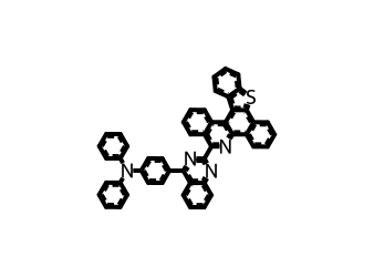 c1ccc(N(c2ccccc2)c2ccc(-c3nc(-c4nc5c6ccccc6c6sc7ccccc7c6c5c5ccccc45)nc4ccccc34)cc2)cc1